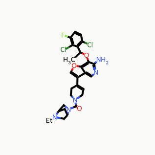 CCN1CC2CC1CN2C(=O)N1CC=C(c2coc3c(OC(C)c4c(Cl)ccc(F)c4Cl)c(N)ncc23)CC1